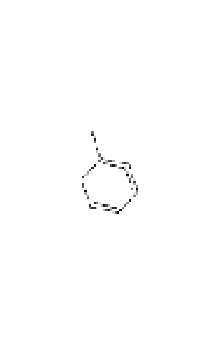 CC1=C=CC=CC1